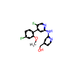 COc1cc(F)ccc1-c1cc(Nc2cc(CO)ccn2)ncc1F